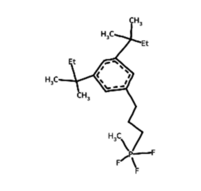 CCC(C)(C)c1cc(CCCP(C)(F)(F)F)cc(C(C)(C)CC)c1